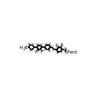 CCCCCOc1ccc(CCc2ccc(-c3ccc(C4CCC(C)CC4)c(F)c3F)cc2)c(F)c1F